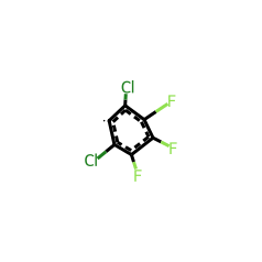 Fc1c(Cl)[c]c(Cl)c(F)c1F